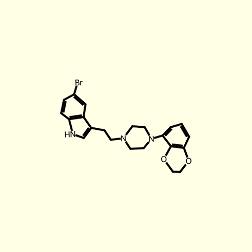 Brc1ccc2[nH]cc(CCN3CCN(c4cccc5c4OCCO5)CC3)c2c1